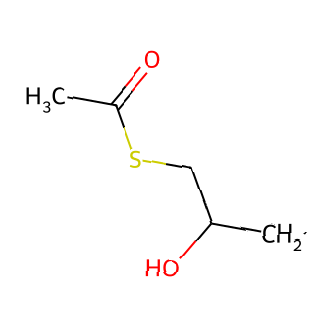 [CH2]C(O)CSC(C)=O